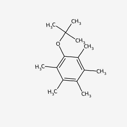 Cc1c(C)c(C)c(OC(C)(C)C)c(C)c1C